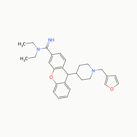 CCN(CC)C(=N)c1ccc2c(c1)Oc1ccccc1C2C1CCN(Cc2ccoc2)CC1